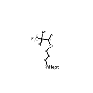 [CH2]CCCCCCCCCSC(C)C(F)(F)C(F)(F)F